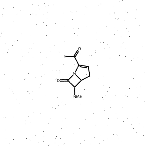 CNC1C(=O)N2C(C(=O)I)=CCC12